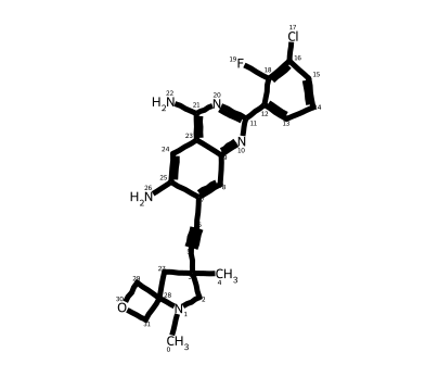 CN1CC(C)(C#Cc2cc3nc(-c4cccc(Cl)c4F)nc(N)c3cc2N)CC12COC2